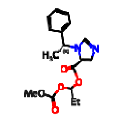 CCC(OC(=O)OC)OC(=O)c1cncn1[C@H](C)c1ccccc1